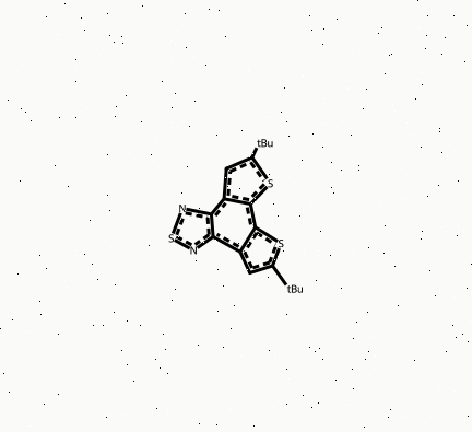 CC(C)(C)c1cc2c3nsnc3c3cc(C(C)(C)C)sc3c2s1